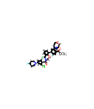 COC(=O)c1cc(F)c(-c2cccc3c2OCN(C(=O)c2c(Cl)cc(N4CCC(F)CC4)cc2Cl)C3)cc1N1C2CCC1COC2